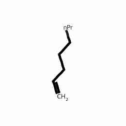 C=CCCCC[CH]C